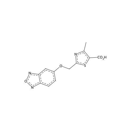 Cc1nc(COc2ccc3nonc3c2)sc1C(=O)O